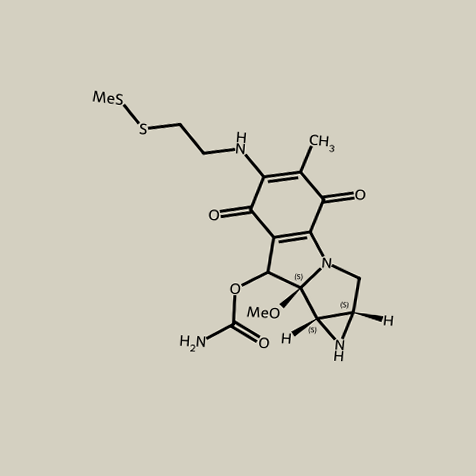 CO[C@@]12C(OC(N)=O)C3=C(C(=O)C(C)=C(NCCSSC)C3=O)N1C[C@@H]1N[C@@H]12